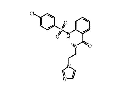 O=C(NCCn1ccnc1)c1ccccc1NS(=O)(=O)c1ccc(Cl)cc1